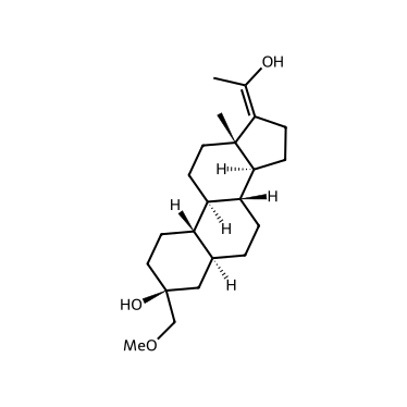 COC[C@]1(O)CC[C@H]2[C@@H](CC[C@@H]3[C@@H]2CC[C@]2(C)/C(=C(\C)O)CC[C@@H]32)C1